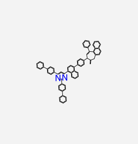 C=C1Cc2ccc3ccccc3c2C(c2ccccc2)=CC1c1ccc(-c2ccc(-c3cc(-c4ccc(-c5ccccc5)cc4)nc(-c4ccc(-c5ccccc5)cc4)n3)c3ccccc23)cc1